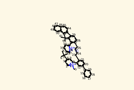 C[n+]1ccc(C(C)(C)C)cc1-c1cc(-c2ccccc2)ccc1C/C=C1/Cc2ccc3c(c2-c2cccc[n+]21)C(C)(C)c1c-3ccc2ccccc12